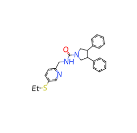 CCSc1ccc(CNC(=O)N2CC(c3ccccc3)C(c3ccccc3)C2)nc1